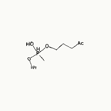 CCCO[PH](C)(O)OCCCC(C)=O